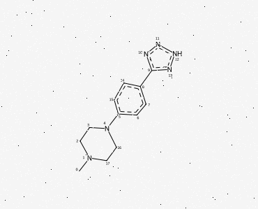 CN1CCN(c2ccc(-c3nn[nH]n3)cc2)CC1